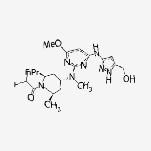 CCC[C@H]1C[C@H](N(C)c2nc(Nc3cc(CO)[nH]n3)cc(OC)n2)C[C@@H](C)N1C(=O)C(F)F